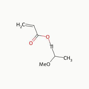 C=CC(=O)[O][Tl][CH](C)OC